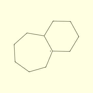 C1CC[C]2CCCCC2CC1